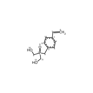 C=Cc1ccc(CP(=O)(CO)CO)cc1